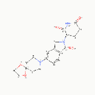 O=C1CCC(N2Cc3cc(N4CCC5(CC4)OCCO5)ccc3C2=O)C(=O)N1